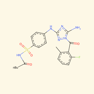 CCCCC(=O)NS(=O)(=O)c1ccc(Nc2nc(N)n(C(=O)c3c(C)cccc3F)n2)cc1